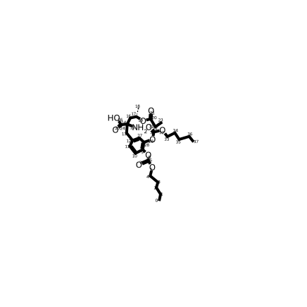 CCCCCOC(=O)Oc1ccc(CC(N)(C[C@H](C)OC(=O)CC)C(=O)O)cc1OC(=O)OCCCCC